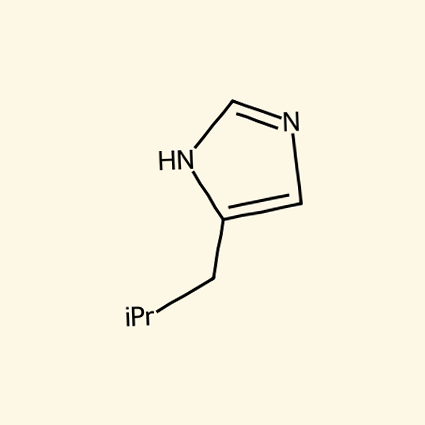 [CH2]C(C)Cc1cnc[nH]1